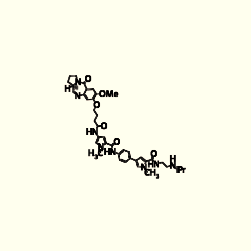 COc1cc2c(cc1OCCCC(=O)Nc1cc(C(=O)Nc3ccc(-c4cc(C(=O)NCCNC(C)C)n(C)c4)cc3)n(C)c1)N=C[C@@H]1CCCN1C2=O